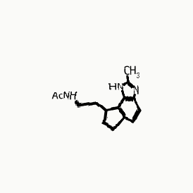 CC(=O)NCCC1CCc2ccc3nc(C)[nH]c3c21